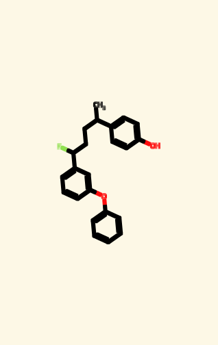 CC(CCC(F)c1cccc(Oc2ccccc2)c1)c1ccc(O)cc1